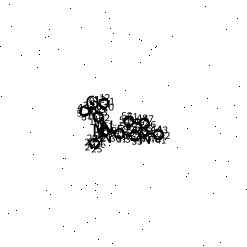 O=P(c1ccccc1)(c1ccccc1)c1ccc(-c2nc(-c3ccccc3)nc(-c3ccc(-c4ccc5nc(-c6ccccc6)c6cccc(-c7ccccc7)c6c5c4)cc3)n2)cc1